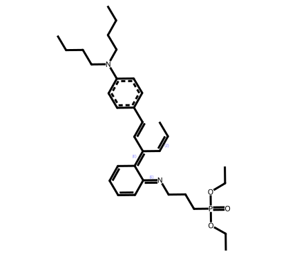 C\C=C/C(C=Cc1ccc(N(CCCC)CCCC)cc1)=C1/C=CC=C/C1=N\CCCP(=O)(OCC)OCC